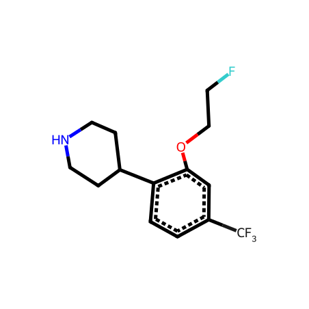 FCCOc1cc(C(F)(F)F)ccc1C1CCNCC1